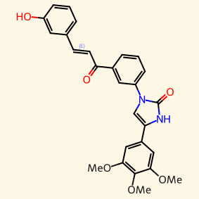 COc1cc(-c2cn(-c3cccc(C(=O)/C=C/c4cccc(O)c4)c3)c(=O)[nH]2)cc(OC)c1OC